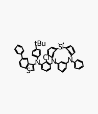 CC(C)(C)c1ccc(N(c2cccc(N3c4cccc(c4)N(c4ccccc4)c4cccc(c4)[Si](C)(C)c4cccc3c4)c2Cl)c2csc3ccc(-c4ccccc4)cc23)cc1